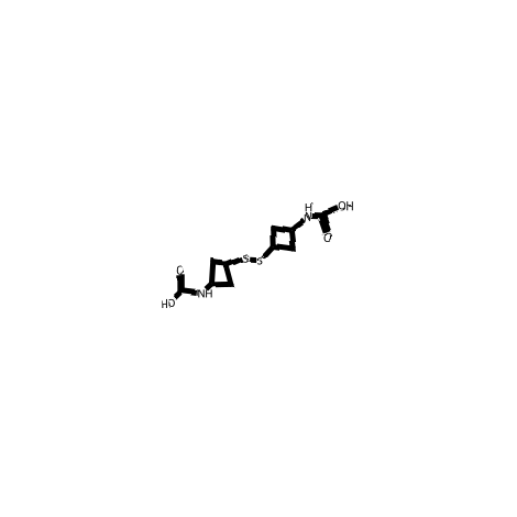 O=C(O)NC1CC(SSC2CC(NC(=O)O)C2)C1